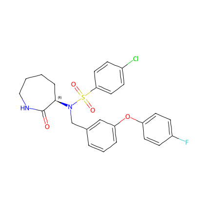 O=C1NCCCC[C@H]1N(Cc1cccc(Oc2ccc(F)cc2)c1)S(=O)(=O)c1ccc(Cl)cc1